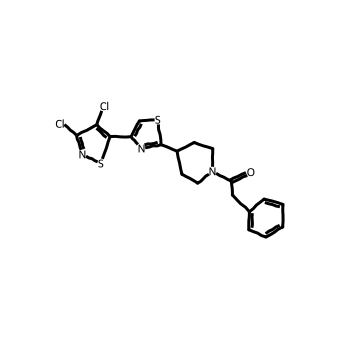 O=C(Cc1ccccc1)N1CCC(c2nc(-c3snc(Cl)c3Cl)cs2)CC1